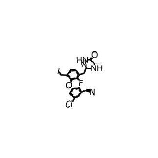 C[C@@H]1NC(Cc2ccc(CI)c(Oc3cc(Cl)cc(C#N)c3)c2F)=NNC1=O